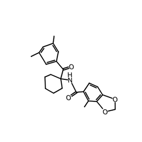 Cc1cc(C)cc(C(=O)C2(NC(=O)c3ccc4c(c3C)OCO4)CCCCC2)c1